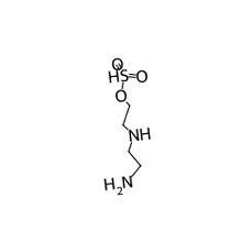 NCCNCCO[SH](=O)=O